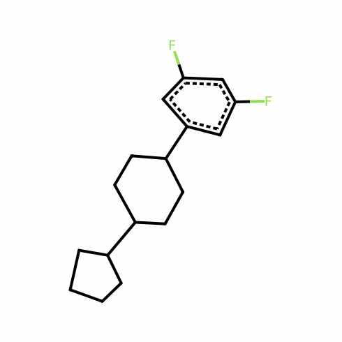 Fc1cc(F)cc(C2CCC(C3CCCC3)CC2)c1